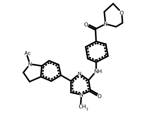 CC(=O)N1CCc2cc(-c3cn(C)c(=O)c(Nc4ccc(C(=O)N5CCOCC5)cc4)n3)ccc21